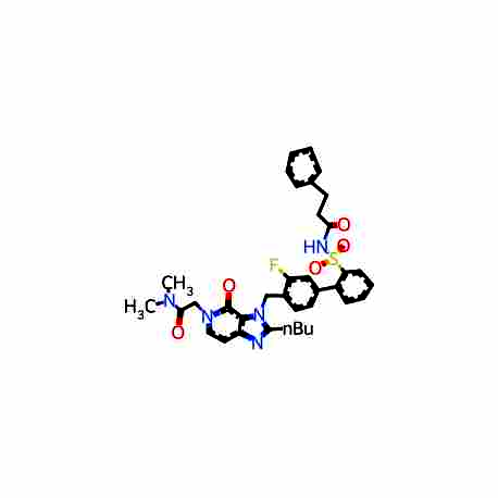 CCCCc1nc2ccn(CC(=O)N(C)C)c(=O)c2n1Cc1ccc(-c2ccccc2S(=O)(=O)NC(=O)CCc2ccccc2)cc1F